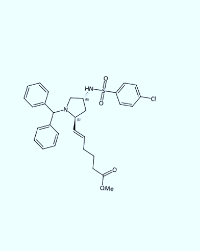 COC(=O)CCCC=C[C@@H]1C[C@@H](NS(=O)(=O)c2ccc(Cl)cc2)CN1C(c1ccccc1)c1ccccc1